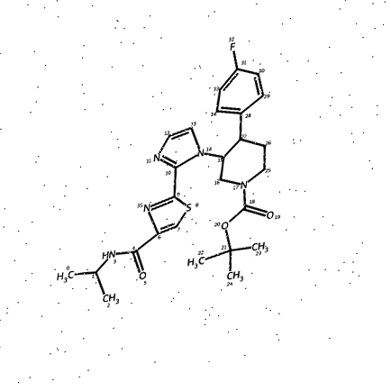 CC(C)NC(=O)c1csc(-c2nccn2C2CN(C(=O)OC(C)(C)C)CCC2c2ccc(F)cc2)n1